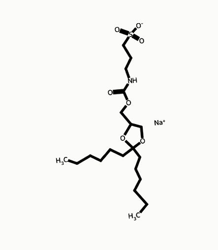 CCCCCCC1(CCCCCC)OCC(COC(=O)NCCCS(=O)(=O)[O-])O1.[Na+]